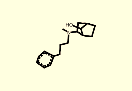 CN(CCCc1ccccc1)C1CC2CCC1C2O